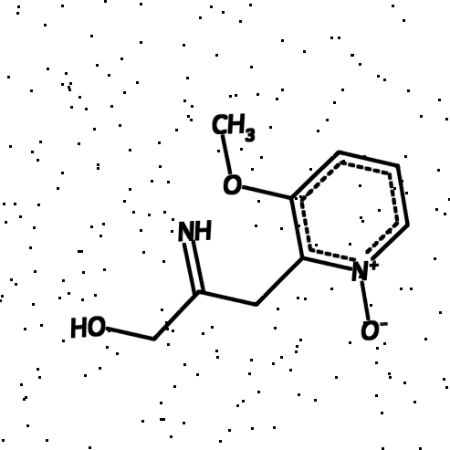 COc1ccc[n+]([O-])c1CC(=N)CO